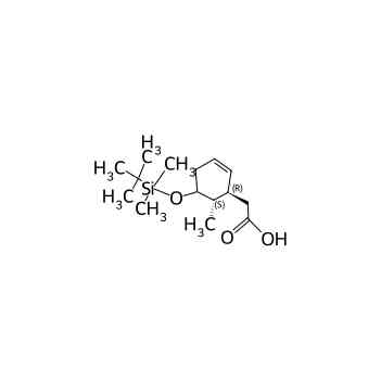 C[C@@H]1C(O[Si](C)(C)C(C)(C)C)CC=C[C@H]1CC(=O)O